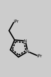 CC(C)Cc1ccn(C(C)C)n1